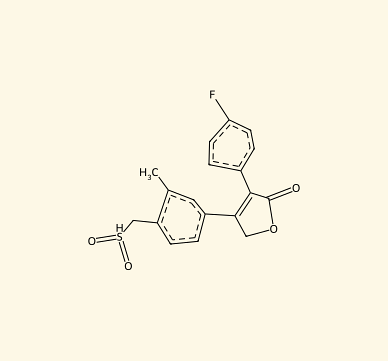 Cc1cc(C2=C(c3ccc(F)cc3)C(=O)OC2)ccc1C[SH](=O)=O